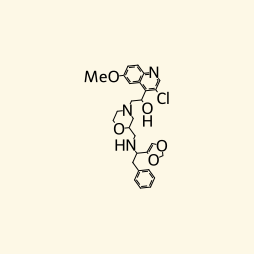 COc1ccc2ncc(Cl)c(C(O)CN3CCOC(CNC(Cc4ccccc4)C4=COCO4)C3)c2c1